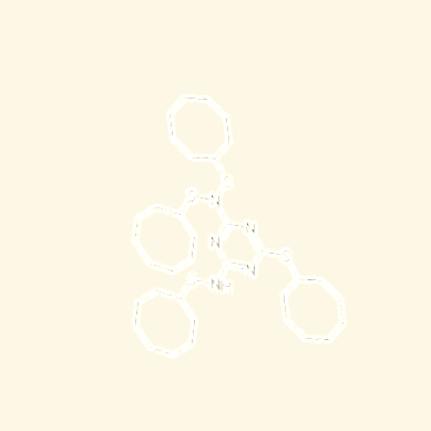 C1CCCC(SNc2nc(SC3CCCCCCC3)nc(N(SC3CCCCCCC3)SC3CCCCCCC3)n2)CCC1